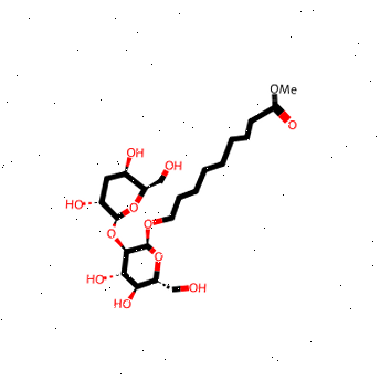 COC(=O)CCCCCCCCO[C@H]1O[C@H](CO)[C@@H](O)[C@H](O)[C@H]1O[C@H]1O[C@H](CO)[C@H](O)C[C@H]1O